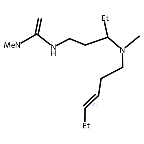 C=C(NC)NCCC(CC)N(C)CC/C=C/CC